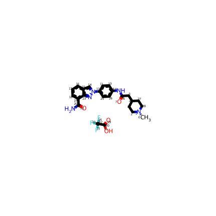 CN1CCC(CC(=O)Nc2ccc(-n3cc4cccc(C(N)=O)c4n3)cc2)CC1.O=C(O)C(F)(F)F